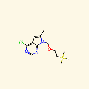 Cc1cc2c(Cl)ncnc2n1COCCS(C)(C)C